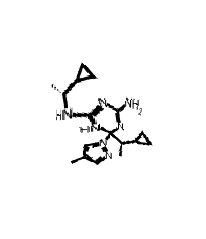 Cc1cnn(C2([C@H](C)C3CC3)N=C(N)N=C(N[C@H](C)C3CC3)N2)c1